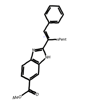 CCCCC/C(=C\c1ccccc1)c1nc2ccc(C(=O)OC)cc2[nH]1